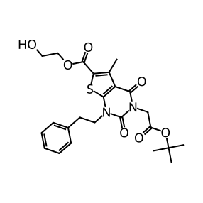 Cc1c(C(=O)OCCO)sc2c1c(=O)n(CC(=O)OC(C)(C)C)c(=O)n2CCc1ccccc1